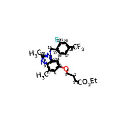 CCOC(=O)CCCOc1cc(C)c2nc(C)n(Cc3ccc(C(F)(F)F)cc3F)c2c1